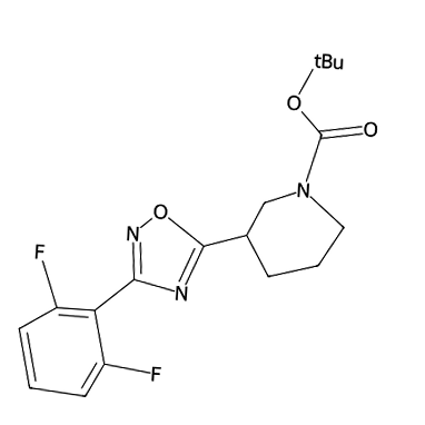 CC(C)(C)OC(=O)N1CCCC(c2nc(-c3c(F)cccc3F)no2)C1